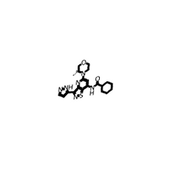 C[C@@H]1COCCN1c1cc(NC(=O)C2CCCCC2)c2snc(-c3ccn[nH]3)c2n1